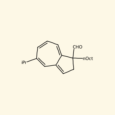 CCCCCCCCC1(C=O)CC=C2C=C(C(C)C)C=CC=C21